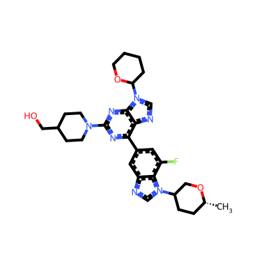 C[C@@H]1CCC(n2cnc3cc(-c4nc(N5CCC(CO)CC5)nc5c4ncn5C4CCCCO4)cc(F)c32)CO1